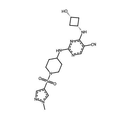 Cn1cc(S(=O)(=O)N2CCC(Nc3ncc(C#N)c(N[C@H]4C[C@@H](O)C4)n3)CC2)cn1